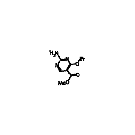 COC(=O)c1cnc(N)nc1OC(C)C